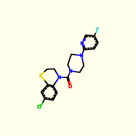 O=C(N1CCN(c2ccc(F)cn2)CC1)N1CCSc2cc(Cl)ccc21